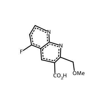 COCc1nc2nccc(F)c2cc1C(=O)O